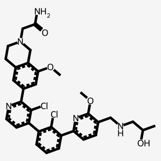 COc1cc(-c2nccc(-c3cccc(-c4ccc(CNCC(C)O)c(OC)n4)c3Cl)c2Cl)cc2c1CN(CC(N)=O)CC2